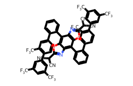 N#CC(C#N)c1nc2c(-c3ccccc3-c3ccc(-c4cc(C(F)(F)F)cc(C(F)(F)F)c4)c(C(F)(F)F)c3)c3oc(C(C#N)C#N)nc3c(-c3ccccc3-c3ccc(-c4cc(C(F)(F)F)cc(C(F)(F)F)c4)c(C(F)(F)F)c3)c2o1